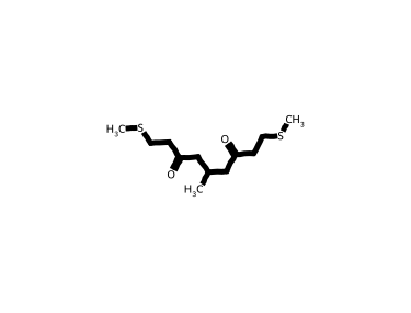 CSCCC(=O)CC(C)CC(=O)CCSC